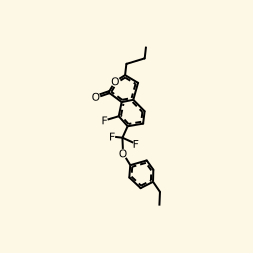 CCCc1cc2ccc(C(F)(F)Oc3ccc(CC)cc3)c(F)c2c(=O)o1